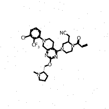 C=CC(=O)N1CCN(c2nc(OC[C@@H]3CCCN3C)nc3c2CCN(c2cccc(Cl)c2C(F)(F)F)C3)CC1CC#N